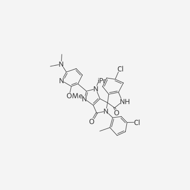 COc1nc(N(C)C)ccc1-c1nc2c(n1C(C)C)C1(C(=O)Nc3cc(Cl)ccc31)N(c1cc(Cl)ccc1C)C2=O